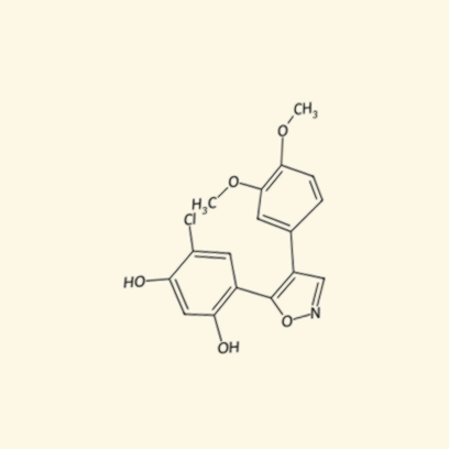 COc1ccc(-c2cnoc2-c2cc(Cl)c(O)cc2O)cc1OC